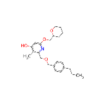 CCCc1ccc(COCc2nc(OCC3CCCCO3)cc(O)c2C)cc1